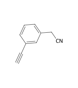 C#Cc1cccc(CC#N)c1